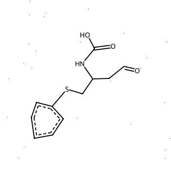 O=CCC(CSc1ccccc1)NC(=O)O